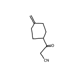 C=C1CCC(C(=O)CC#N)CC1